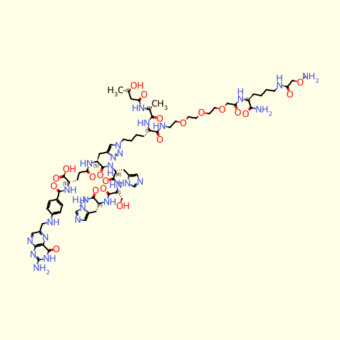 C[C@H](O)CC(=O)N[C@H](C)C(=O)N[C@@H](CCCCn1cc(C[C@H](NC(=O)CC[C@H](NC(=O)c2ccc(NCc3cnc4nc(N)[nH]c(=O)c4n3)cc2)C(=O)O)C(=O)N[C@H](Cc2cnc[nH]2)C(=O)N[C@H](CO)C(=O)N[C@H](Cc2cnc[nH]2)C(N)=O)nn1)C(=O)NCCOCCOCCOCC(=O)N[C@@H](CCCCNC(=O)CON)C(N)=O